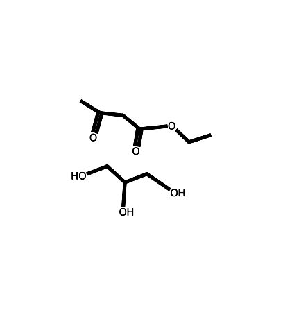 CCOC(=O)CC(C)=O.OCC(O)CO